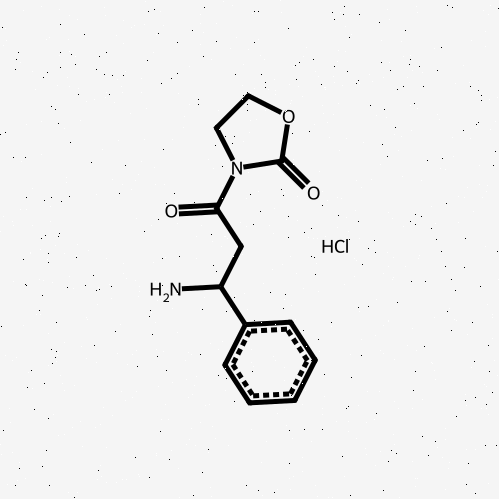 Cl.NC(CC(=O)N1CCOC1=O)c1ccccc1